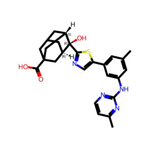 Cc1cc(Nc2nccc(C)n2)cc(-c2cnc([C@]3(O)[C@@H]4CC5C[C@H]3CC(C(=O)O)(C5)C4)s2)c1